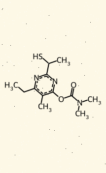 CCc1nc(C(C)S)nc(OC(=O)N(C)C)c1C